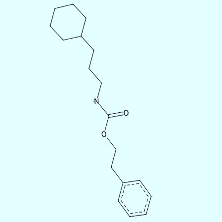 O=C([N]CCCC1CCCCC1)OCCc1ccccc1